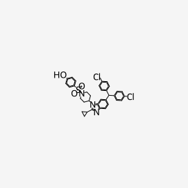 O=S(=O)(c1ccc(O)cc1)N1CCC(n2c(C3CC3)nc3ccc(C(c4ccc(Cl)cc4)c4ccc(Cl)cc4)cc32)CC1